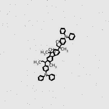 CCC(c1ccc(N(c2ccccc2)c2ccccc2)cc1)c1cc2c(cc1C)-c1ccc(C(C)(CC)c3ccc(N(c4ccccc4)c4ccccc4)cc3)cc1C2(C)C